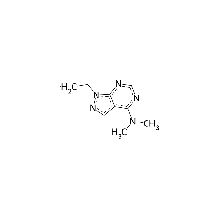 [CH2]Cn1ncc2c(N(C)C)ncnc21